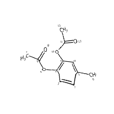 [CH]c1ccc(OC(C)=O)c(OC(C)=O)c1